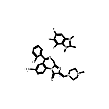 CC1N(C)c2cc(F)c(F)c(F)c2N1C.CN1CCN(/C=C2\N=C3CN=C(c4ccccc4Cl)c4cc([N+](=O)[O-])ccc4N3C2=O)CC1